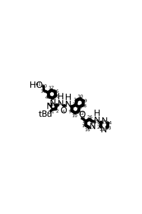 CC(C)(C)c1cc(NC(=O)Nc2ccc(OCc3ccnc(Nc4cnccn4)c3)c3ccccc23)n(-c2cccc(CCO)c2)n1